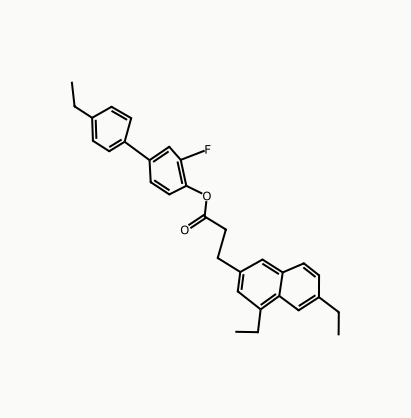 CCc1ccc(-c2ccc(OC(=O)CCc3cc(CC)c4cc(CC)ccc4c3)c(F)c2)cc1